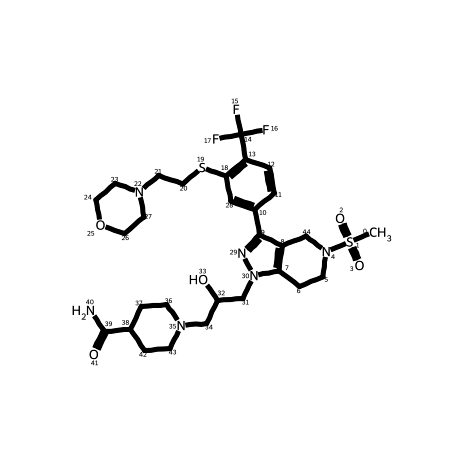 CS(=O)(=O)N1CCc2c(c(-c3ccc(C(F)(F)F)c(SCCN4CCOCC4)c3)nn2CC(O)CN2CCC(C(N)=O)CC2)C1